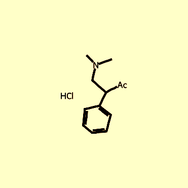 CC(=O)C(CN(C)C)c1ccccc1.Cl